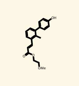 COCCOC(=O)C=Cc1cccc(-c2ccc(O)cc2)c1C